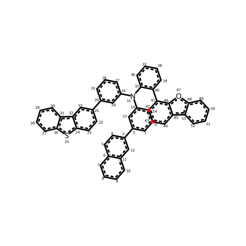 c1cc(-c2ccc3ccccc3c2)cc(N(c2cccc(-c3ccc4sc5ccccc5c4c3)c2)c2ccccc2-c2cccc3c2oc2ccccc23)c1